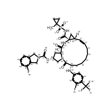 CC1(S(=O)(=O)NC(=O)[C@@]23C[C@@H]2/C=C\CCCCC[C@H](Nc2ccc(C(F)(F)F)c(F)c2)C(=O)N2C[C@H](OC(=O)N4Cc5cccc(F)c5C4)C[C@H]2C(=O)N3)CC1